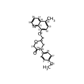 COc1ccc(N2CC(COc3ccc(C)c4cccnc34)OCC2=O)cc1